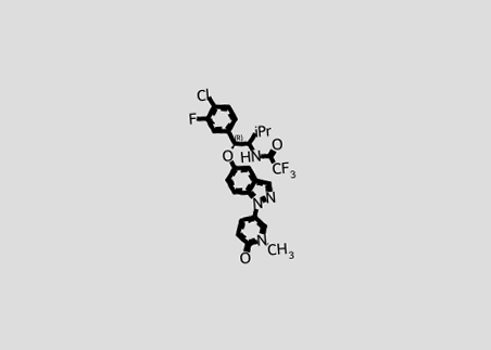 CC(C)C(NC(=O)C(F)(F)F)[C@H](Oc1ccc2c(cnn2-c2ccc(=O)n(C)c2)c1)c1ccc(Cl)c(F)c1